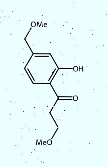 COCCC(=O)c1ccc(COC)cc1O